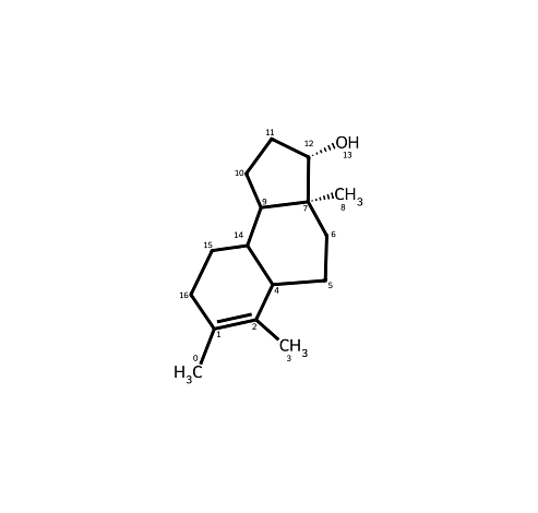 CC1=C(C)C2CC[C@@]3(C)C(CC[C@@H]3O)C2CC1